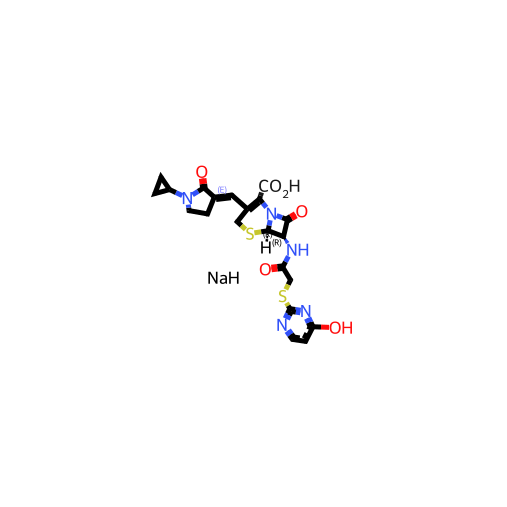 O=C(CSc1nccc(O)n1)N[C@@H]1C(=O)N2C(C(=O)O)=C(/C=C3\CCN(C4CC4)C3=O)CS[C@H]12.[NaH]